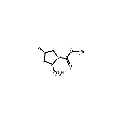 CC(C)(C)OC(=O)N1C[C@H](S)C[C@H]1C(=O)O